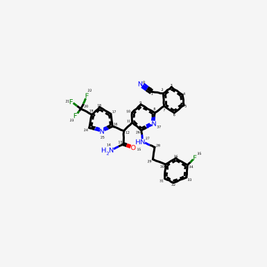 N#Cc1ccccc1-c1ccc(C(C(N)=O)c2ccc(C(F)(F)F)cn2)c(NCCc2cccc(F)c2)n1